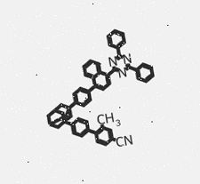 Cc1cc(C#N)ccc1-c1ccc(C23CC4CC(C2)CC(c2ccc(-c5ccc(-c6nc(-c7ccccc7)nc(-c7ccccc7)n6)c6ccccc56)cc2)(C4)C3)cc1